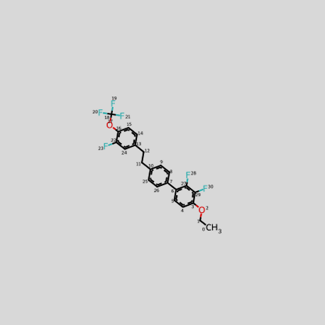 CCOc1ccc(-c2ccc(CCc3ccc(OC(F)(F)F)c(F)c3)cc2)c(F)c1F